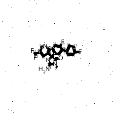 CN1C(=O)C(c2cncc(C(F)F)c2)(c2cc(-c3ccc(F)cc3)c(F)cc2F)N=C1N